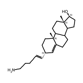 C[C@]12CC[C@@H](C=CCCCN)C=C1CCC1C2CC[C@@]2(C)C1CC[C@@H]2O